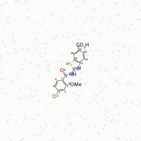 COc1cc(Cl)ccc1C(=O)Nc1nc2ccc(C(=O)O)cc2s1